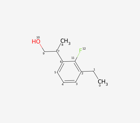 CCc1cccc([C](C)CO)c1F